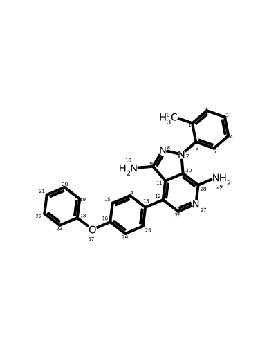 Cc1ccccc1-n1nc(N)c2c(-c3ccc(Oc4ccccc4)cc3)cnc(N)c21